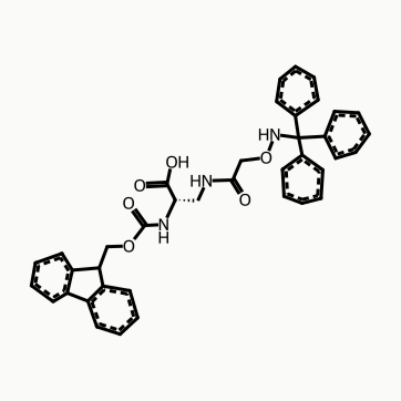 O=C(CONC(c1ccccc1)(c1ccccc1)c1ccccc1)NC[C@H](NC(=O)OCC1c2ccccc2-c2ccccc21)C(=O)O